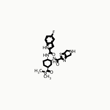 CN(C)C(=O)[C@H]1CC[C@H](NC(=O)c2cc3cc(F)ccc3[nH]2)[C@H](NC(=O)c2nc3c(s2)CNC3)C1